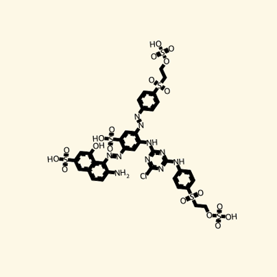 Nc1ccc2cc(S(=O)(=O)O)cc(O)c2c1/N=N/c1cc(Nc2nc(Cl)nc(Nc3ccc(S(=O)(=O)CCOS(=O)(=O)O)cc3)n2)c(/N=N/c2ccc(S(=O)(=O)CCOS(=O)(=O)O)cc2)cc1S(=O)(=O)O